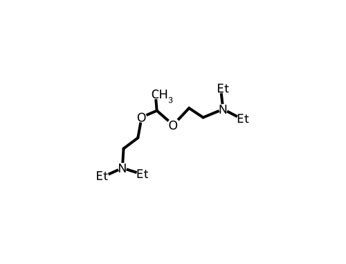 CCN(CC)CCOC(C)OCCN(CC)CC